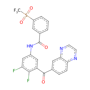 O=C(Nc1cc(F)c(F)c(C(=O)c2ccc3nccnc3c2)c1)c1cccc(S(=O)(=O)C(F)(F)F)c1